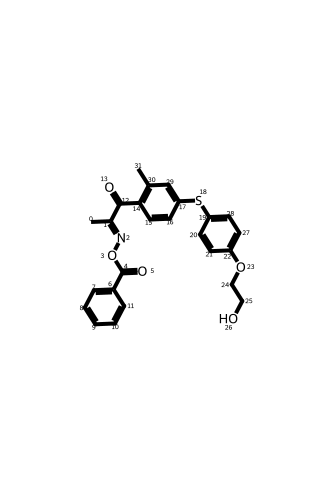 C/C(=N\OC(=O)c1ccccc1)C(=O)c1ccc(Sc2ccc(OCCO)cc2)cc1C